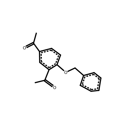 CC(=O)c1ccc(OCc2ccccc2)c(C(C)=O)c1